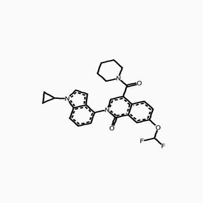 O=C(c1cn(-c2cccc3c2ccn3C2CC2)c(=O)c2cc(OC(F)F)ccc12)N1CCCCC1